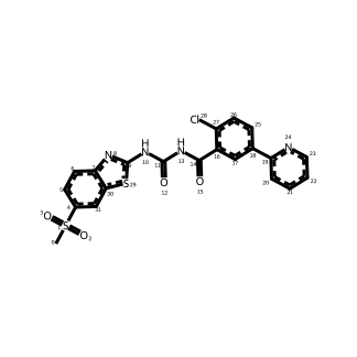 CS(=O)(=O)c1ccc2nc(NC(=O)NC(=O)c3cc(-c4ccccn4)ccc3Cl)sc2c1